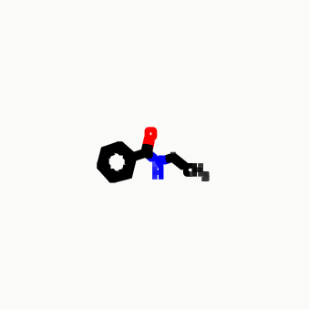 C[CH]NC(=O)c1ccccc1